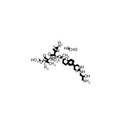 CC(O/N=C(/C(=O)N[C@@H]1C(=O)N(OS(=O)(=O)O)C1(C)C)c1csc(N)n1)(C(=O)O)[C@H]1CCc2cc(C3CN=C(NCC(O)CN)NC3)ccc2O1.O=CO